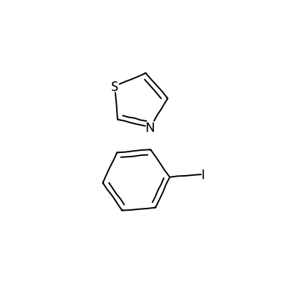 Ic1ccccc1.c1cscn1